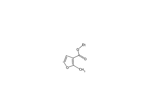 CCOC(=O)c1c[c]oc1C